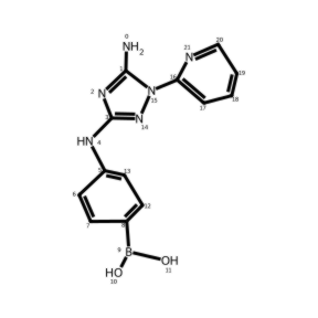 Nc1nc(Nc2ccc(B(O)O)cc2)nn1-c1ccccn1